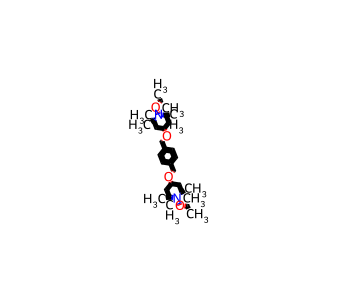 CCON1C(C)(C)CC(OCc2ccc(COC3CC(C)(C)N(OCC)C(C)(C)C3)cc2)CC1(C)C